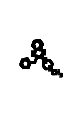 CN1CCN(c2nc3ccccc3nc2Cc2ccccc2)CC1